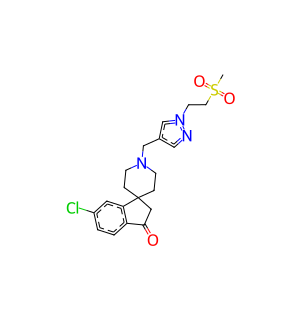 CS(=O)(=O)CCn1cc(CN2CCC3(CC2)CC(=O)c2ccc(Cl)cc23)cn1